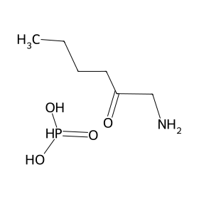 CCCCC(=O)CN.O=[PH](O)O